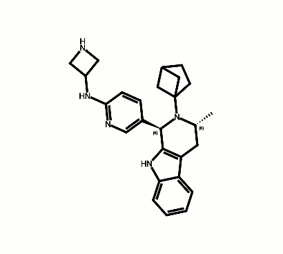 C[C@@H]1Cc2c([nH]c3ccccc23)[C@@H](c2ccc(NC3CNC3)nc2)N1C12CCC(C1)C2